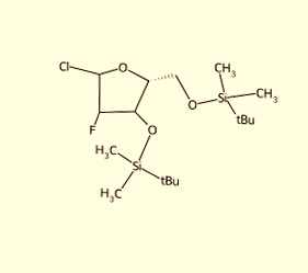 CC(C)(C)[Si](C)(C)OC[C@H]1OC(Cl)C(F)C1O[Si](C)(C)C(C)(C)C